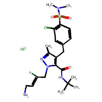 Cc1nn(CC(F)=CCN)c(C(=O)NC(C)(C)C)c1Cc1ccc(S(=O)(=O)N(C)C)c(Cl)c1.Cl